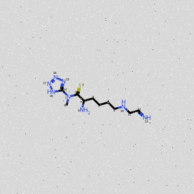 CN(C(=S)C(N)CCCCNCC=N)c1nnn[nH]1